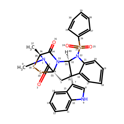 CN1C(=O)[C@@]23C[C@]4(c5c[nH]c6ccccc56)c5ccccc5N(S(=O)(=O)c5ccccc5)[C@@H]4N2C(=O)[C@@]1(C)SS3